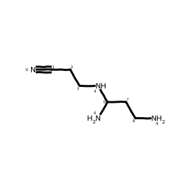 N#CCCNC(N)CCN